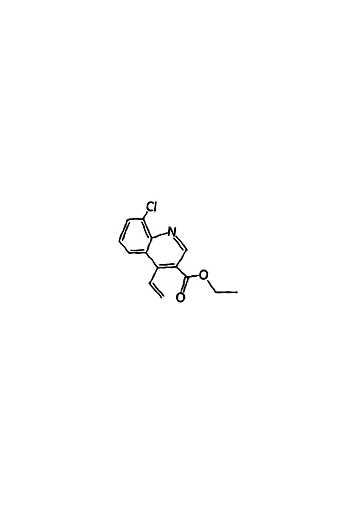 C=Cc1c(C(=O)OCC)cnc2c(Cl)cccc12